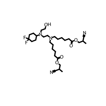 CC(C#N)COC(=O)CCCCCN(CCCCCC(=O)OCC(C)C#N)CCN(CCO)C1CCC(F)(F)CC1